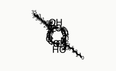 CCCCCCCCC(C)(CO)CN1CCOCCOCCN(CC(C)(CO)CCCCCCCC)CCOCCOCC1